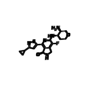 N[C@H]1COCC[C@H]1Nc1nc(-c2cc(C3CC3)ns2)c2c(c1F)CNC2=O